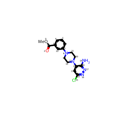 COC(=O)c1cccc(N2CCN(c3cc(Cl)nnc3N)CC2)c1